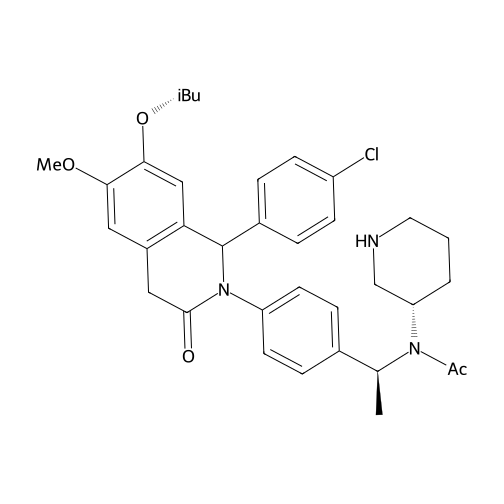 CC[C@@H](C)Oc1cc2c(cc1OC)CC(=O)N(c1ccc([C@H](C)N(C(C)=O)[C@H]3CCCNC3)cc1)C2c1ccc(Cl)cc1